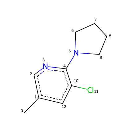 Cc1cnc(N2CCCC2)c(Cl)c1